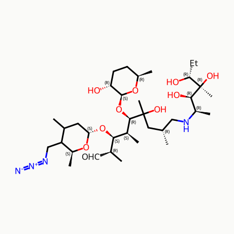 CC[C@@H](O)[C@@](C)(O)[C@H](O)[C@@H](C)NC[C@H](C)CC(C)(O)[C@H](O[C@@H]1O[C@H](C)CC[C@H]1O)[C@@H](C)[C@H](O[C@H]1CC(C)C(CN=[N+]=[N-])[C@H](C)O1)[C@@H](C)C=O